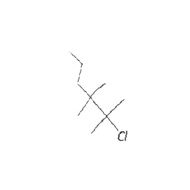 CCCC(C)(C)C(C)(C)Cl